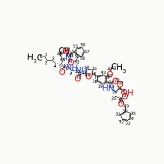 CCCCC[C@@H](C(=O)NCNC(=O)c1ccc(-c2ccc(C(=O)N[C@@H](CC(=O)OCc3ccccc3)C(=O)O)c(OCC)c2)o1)[C@@H](CC)N(C=O)OCc1ccccc1